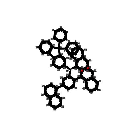 c1ccc(C2(c3ccccc3)c3ccccc3-c3ccc(N(c4cc(-c5cccc6ccccc56)ccc4-c4cccc5ccccc45)c4cccc5ccccc45)cc32)cc1